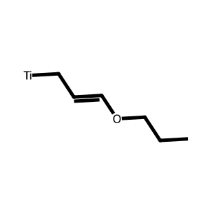 CCCOC=C[CH2][Ti]